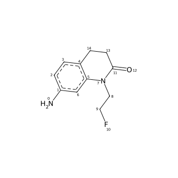 Nc1ccc2c(c1)N(CCF)C(=O)CC2